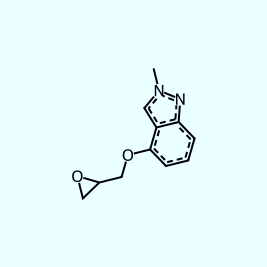 Cn1cc2c(OCC3CO3)cccc2n1